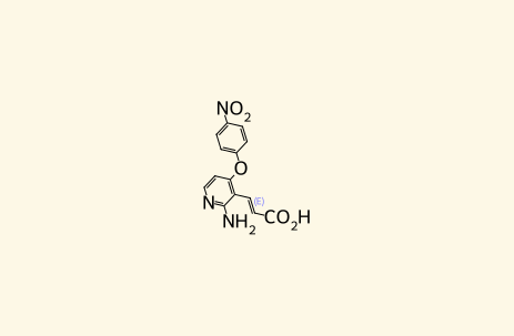 Nc1nccc(Oc2ccc([N+](=O)[O-])cc2)c1/C=C/C(=O)O